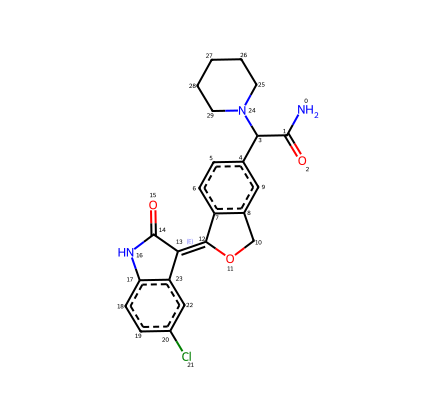 NC(=O)C(c1ccc2c(c1)CO/C2=C1/C(=O)Nc2ccc(Cl)cc21)N1CCCCC1